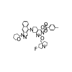 Cc1ccc(S(=O)(=O)Oc2nc(OC[C@@]34CCCN3C[C@H](F)C4)nc3c2CCN(c2c4ccccc4cc4c2cnn4C2CCCCO2)C3)cc1